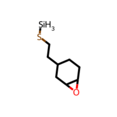 [SiH3]SCCC1CCC2OC2C1